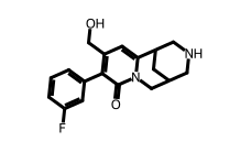 O=c1c(-c2cccc(F)c2)c(CO)cc2n1CC1CNCC2C1